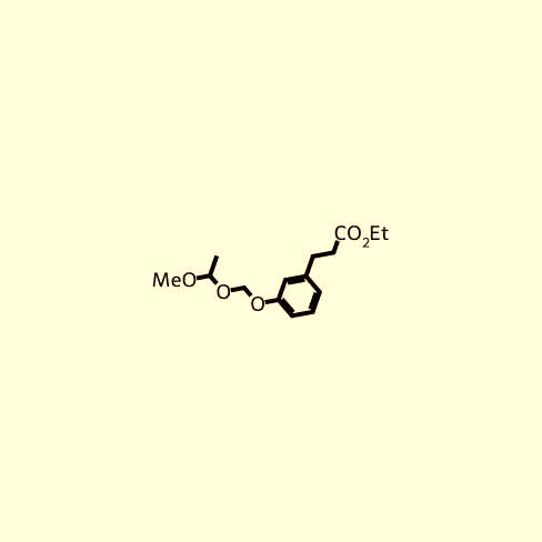 CCOC(=O)CCc1cccc(OCOC(C)OC)c1